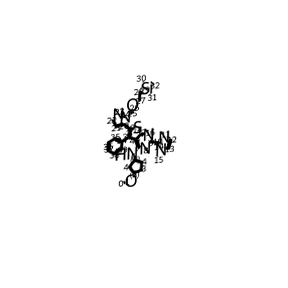 CO[C@H]1CC[C@@H](Nc2nc(-c3nccn3C)nc3sc(-c4ccnn4COCC[Si](C)(C)C)c(-c4ccccc4)c23)C1